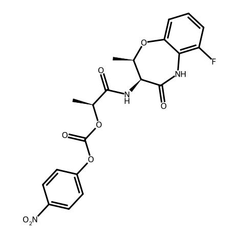 C[C@H](OC(=O)Oc1ccc([N+](=O)[O-])cc1)C(=O)N[C@@H]1C(=O)Nc2c(F)cccc2O[C@@H]1C